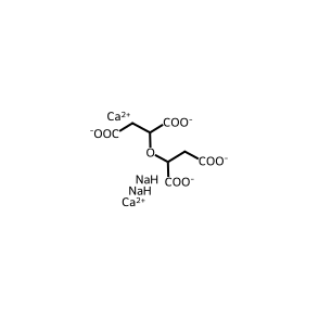 O=C([O-])CC(OC(CC(=O)[O-])C(=O)[O-])C(=O)[O-].[Ca+2].[Ca+2].[NaH].[NaH]